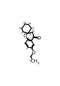 CCOc1ccc2c(c1)C(=O)CC1(CCCCC1)O2